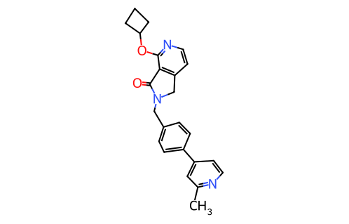 Cc1cc(-c2ccc(CN3Cc4ccnc(OC5CCC5)c4C3=O)cc2)ccn1